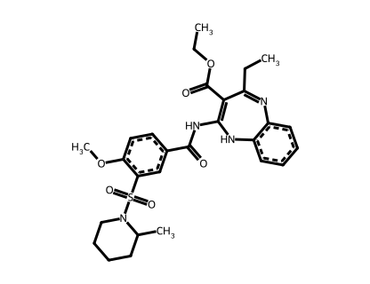 CCOC(=O)C1=C(NC(=O)c2ccc(OC)c(S(=O)(=O)N3CCCCC3C)c2)Nc2ccccc2N=C1CC